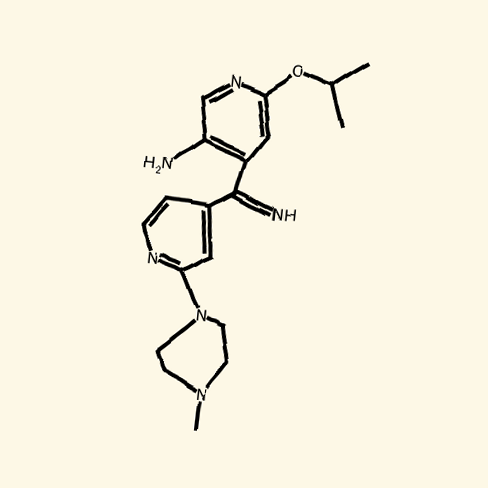 CC(C)Oc1cc(C(=N)c2ccnc(N3CCN(C)CC3)c2)c(N)cn1